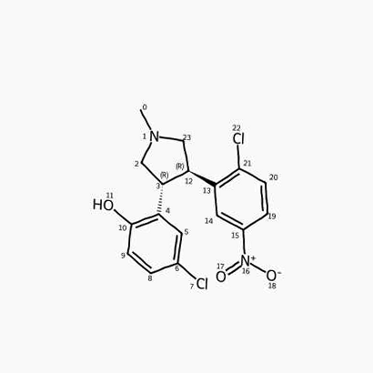 CN1C[C@@H](c2cc(Cl)ccc2O)[C@H](c2cc([N+](=O)[O-])ccc2Cl)C1